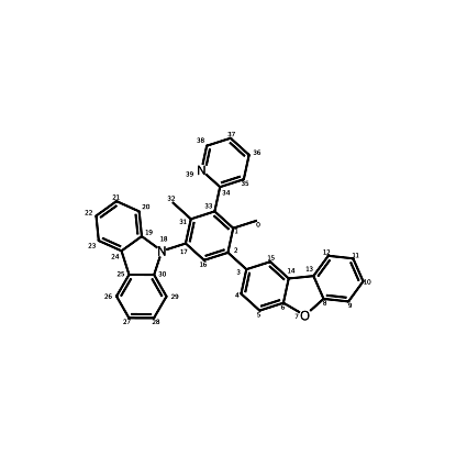 Cc1c(-c2ccc3oc4ccccc4c3c2)cc(-n2c3ccccc3c3ccccc32)c(C)c1-c1ccccn1